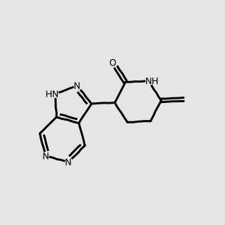 C=C1CCC(c2n[nH]c3cnncc23)C(=O)N1